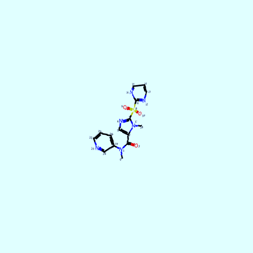 CN(C(=O)c1cnc(S(=O)(=O)c2ncccn2)n1C)c1cccnc1